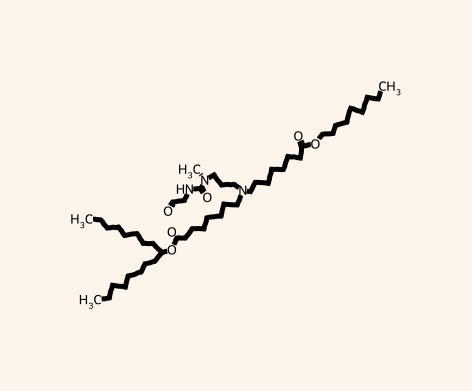 CCCCCCCCCOC(=O)CCCCCCCN(CCCCCCCC(=O)OC(CCCCCCCC)CCCCCCCC)CCCN(C)C(=O)NCC=O